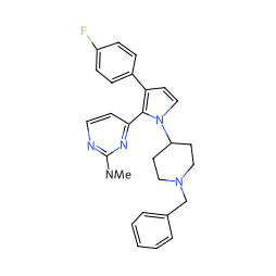 CNc1nccc(-c2c(-c3ccc(F)cc3)ccn2C2CCN(Cc3ccccc3)CC2)n1